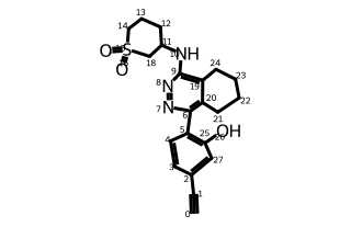 C#Cc1ccc(-c2nnc(NC3CCCS(=O)(=O)C3)c3c2CCCC3)c(O)c1